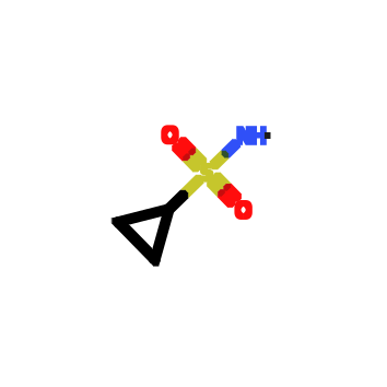 [NH]S(=O)(=O)C1CC1